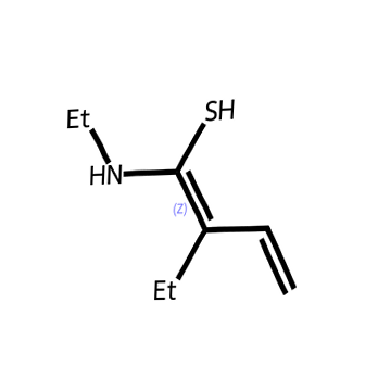 C=C/C(CC)=C(\S)NCC